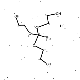 Cl.NC(OCCO)(OCCO)OCCO